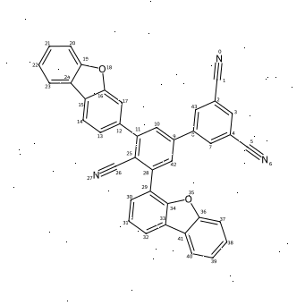 N#Cc1cc(C#N)cc(-c2cc(-c3ccc4c(c3)oc3ccccc34)c(C#N)c(-c3cccc4c3oc3ccccc34)c2)c1